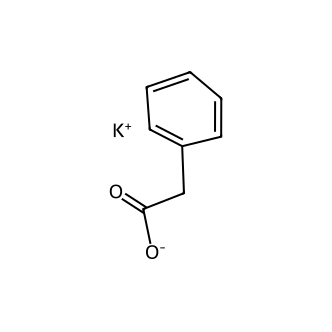 O=C([O-])Cc1ccccc1.[K+]